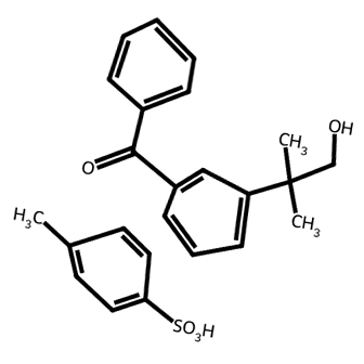 CC(C)(CO)c1cccc(C(=O)c2ccccc2)c1.Cc1ccc(S(=O)(=O)O)cc1